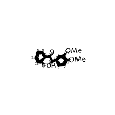 COc1ccc(C(O)C(=O)c2ccccc2F)cc1OC